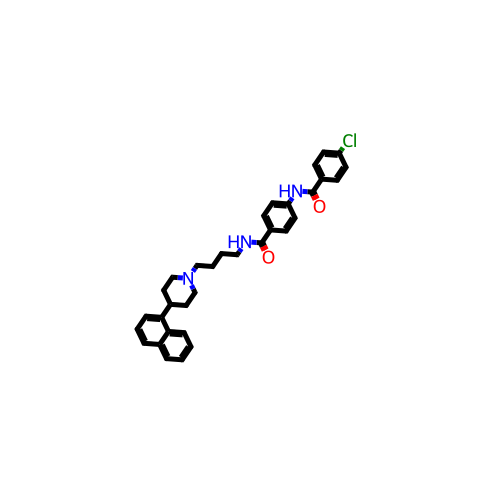 O=C(NCCCCN1CCC(c2cccc3ccccc23)CC1)c1ccc(NC(=O)c2ccc(Cl)cc2)cc1